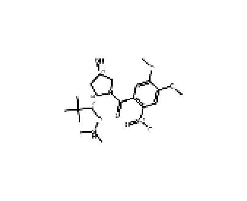 COc1cc(C(=O)N2C[C@H](O)C[C@H]2C(O[SiH](C)C)C(C)(C)C)c([N+](=O)[O-])cc1OC